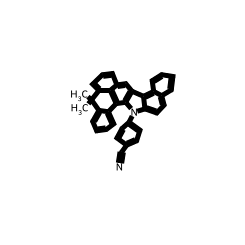 CC1(C)c2ccccc2-c2c3c1cccc3cc1c3c4ccccc4ccc3n(-c3ccc(C#N)cc3)c21